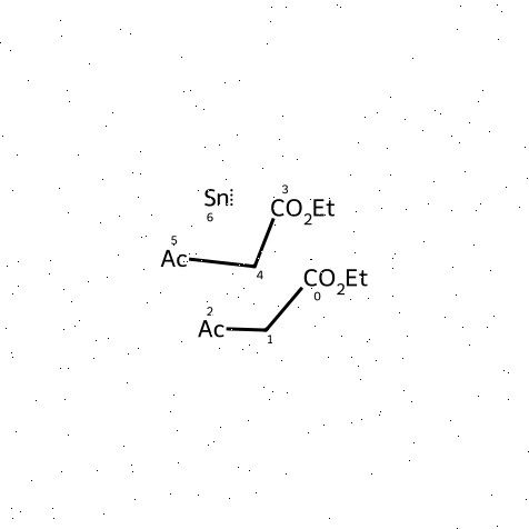 CCOC(=O)CC(C)=O.CCOC(=O)CC(C)=O.[Sn]